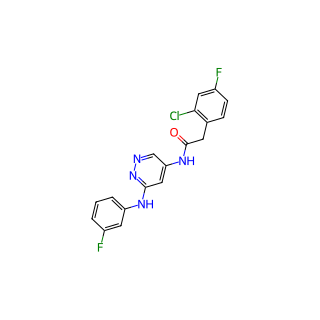 O=C(Cc1ccc(F)cc1Cl)Nc1cnnc(Nc2cccc(F)c2)c1